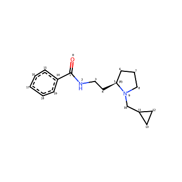 O=C(NCC[C@H]1CCCN1CC1CC1)c1ccccc1